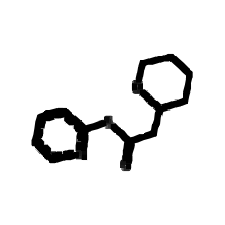 O=C(CC1CCCCO1)Sc1ccccn1